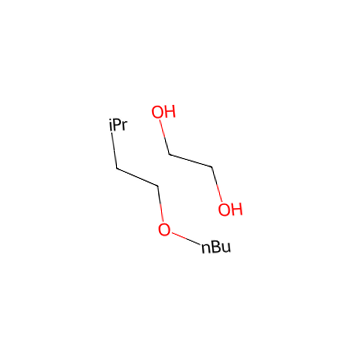 CCCCOCCC(C)C.OCCO